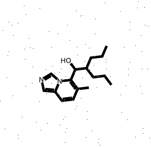 CCCC(CCC)C(O)c1c(C)ccc2cncn12